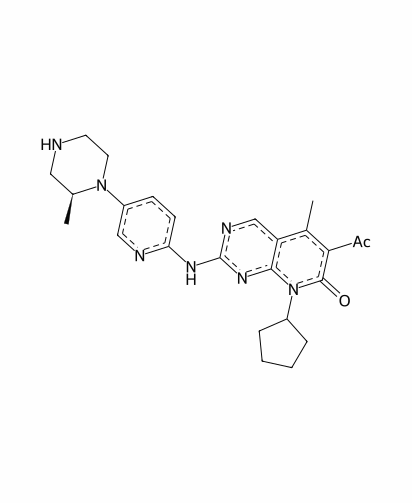 CC(=O)c1c(C)c2cnc(Nc3ccc(N4CCNC[C@@H]4C)cn3)nc2n(C2CCCC2)c1=O